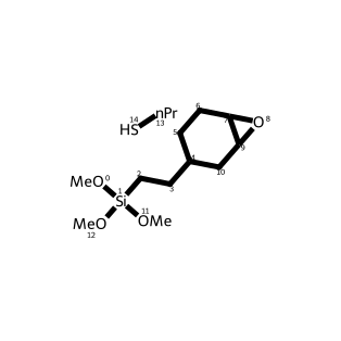 CO[Si](CCC1CCC2OC2C1)(OC)OC.[CH2]CCS